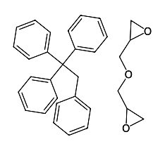 C(OCC1CO1)C1CO1.c1ccc(CC(c2ccccc2)(c2ccccc2)c2ccccc2)cc1